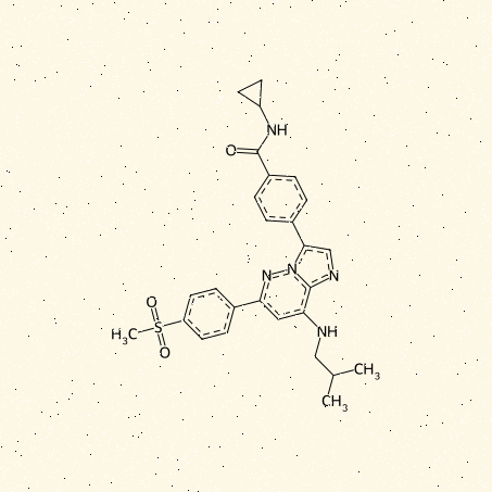 CC(C)CNc1cc(-c2ccc(S(C)(=O)=O)cc2)nn2c(-c3ccc(C(=O)NC4CC4)cc3)cnc12